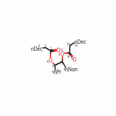 CCCCCCCCCCCC(=O)OC(CCC)C(CCCCCCCCC)OC(=O)CCCCCCCCCCC